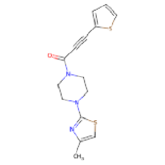 Cc1csc(N2CCN(C(=O)C#Cc3cccs3)CC2)n1